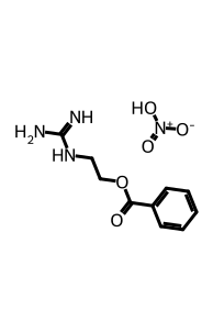 N=C(N)NCCOC(=O)c1ccccc1.O=[N+]([O-])O